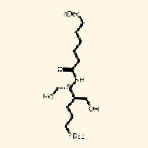 CCCCCCCCCCCCCCCC(=O)N[C@@H](CO)C(CO)CCCCCCCCCCCCC